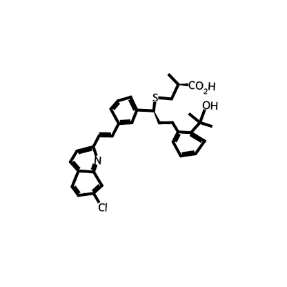 C[C@H](CS[C@@H](CCc1ccccc1C(C)(C)O)c1cccc(C=Cc2ccc3ccc(Cl)cc3n2)c1)C(=O)O